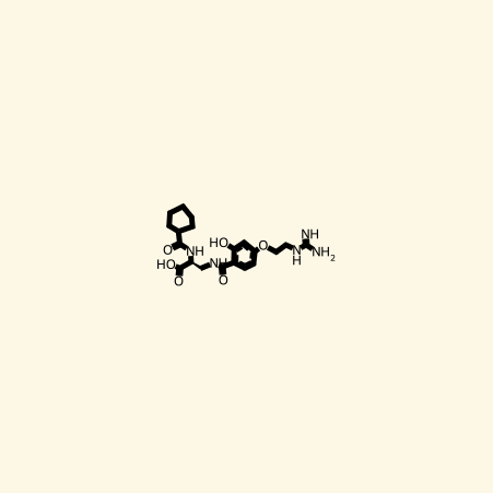 N=C(N)NCCOc1ccc(C(=O)NC[C@H](NC(=O)C2CCCCC2)C(=O)O)c(O)c1